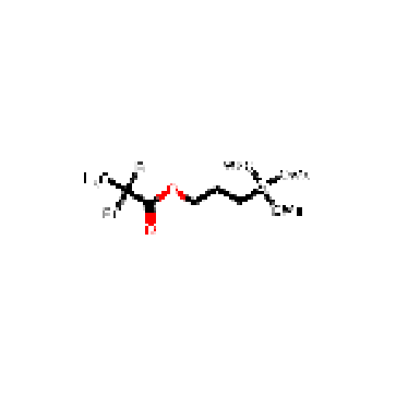 CCC(C)(CC)C(=O)OCCC[Si](OC)(OC)OC